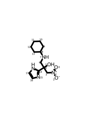 O=[N+]([O-])CC(O)(CNC1CCCCC1)c1ncc[nH]1